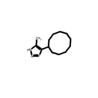 Cc1[nH]npc1C1CCCCCCCCC1